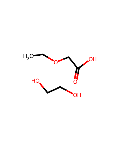 CCOCC(=O)O.OCCO